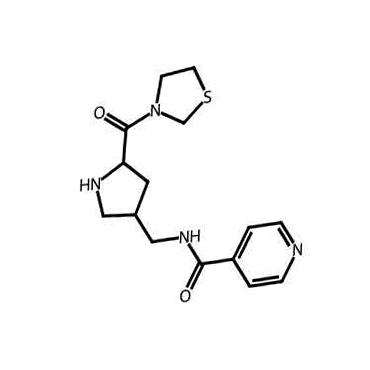 O=C(NCC1CNC(C(=O)N2CCSC2)C1)c1ccncc1